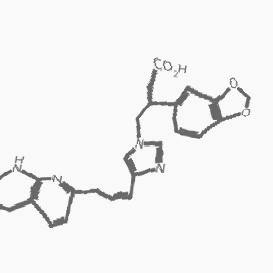 O=C(O)CC(Cn1cnc(/C=C\Cc2ccc3c(n2)NCCC3)c1)c1ccc2c(c1)OCO2